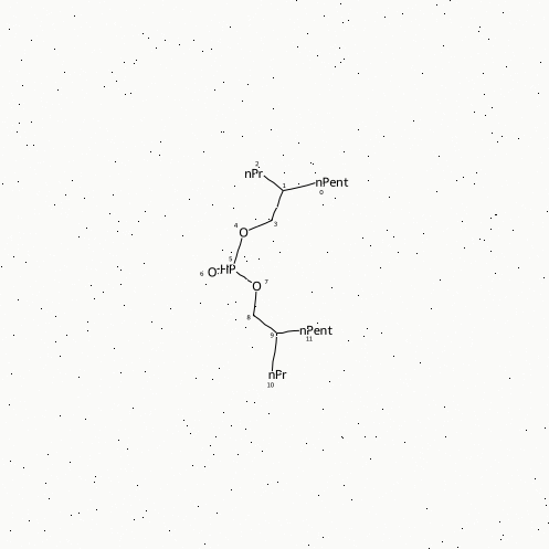 CCCCCC(CCC)CO[PH](=O)OCC(CCC)CCCCC